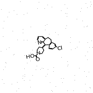 O=C(O)N1CCC(=C2c3ccc(Cl)cc3CCc3cccnc32)CC1